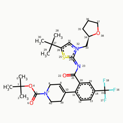 CC(C)(C)OC(=O)N1CC=C(c2ccc(C(F)(F)F)cc2C(=O)/N=c2\sc(C(C)(C)C)cn2C[C@H]2CCCO2)CC1